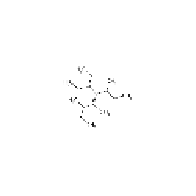 CCC(C)C([SiH3])=C(C(C)CC)N(CC)CC